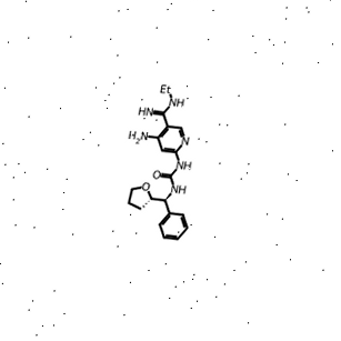 CCNC(=N)c1cnc(NC(=O)N[C@@H](c2ccccc2)[C@@H]2CCCO2)cc1N